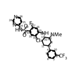 CN[C@H]1C[C@@H](c2cccc(C(F)(F)F)c2)CC[C@@H]1Nc1cc(F)c(S(=O)(=O)Nc2ccncn2)cc1Cl